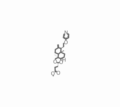 C=C1CCC2[C@]3(C)CO[C@@H](CCC(=O)OC)O[C@@H]3CC[C@@]2(C)[C@@H]1CCOc1ccncc1